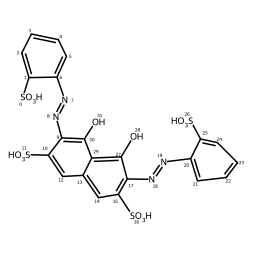 O=S(=O)(O)c1ccccc1N=Nc1c(S(=O)(=O)O)cc2cc(S(=O)(=O)O)c(N=Nc3ccccc3S(=O)(=O)O)c(O)c2c1O